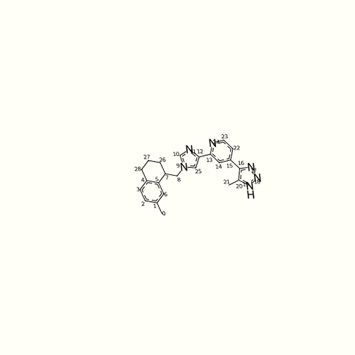 Cc1ccc2c(c1)C(Cn1cnc(-c3cc(-c4nn[nH]c4C)ccn3)c1)CCC2